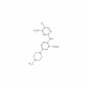 COc1cc(N2CCN(C)CC2)ccc1Nc1ncc(Cl)c(N)n1